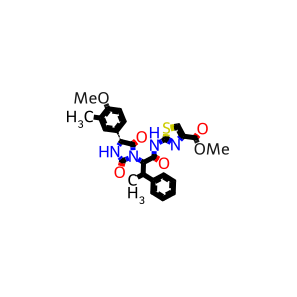 COC(=O)c1csc(NC(=O)C(C(C)c2ccccc2)N2C(=O)N[C@H](c3ccc(OC)c(C)c3)C2=O)n1